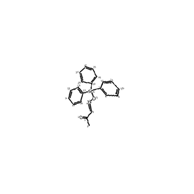 CC(=O)/C=N/O[Si](c1ccccc1)(c1ccccc1)c1ccccc1